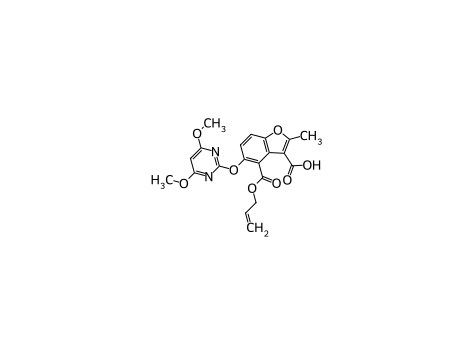 C=CCOC(=O)c1c(Oc2nc(OC)cc(OC)n2)ccc2oc(C)c(C(=O)O)c12